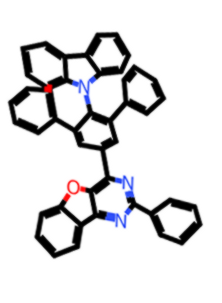 c1ccc(-c2nc(-c3cc(-c4ccccc4)c(-n4c5ccccc5c5ccccc54)c(-c4ccccc4)c3)c3oc4ccccc4c3n2)cc1